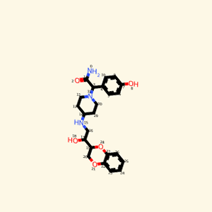 NC(=O)C(c1ccc(O)cc1)N1CCC(NCC(O)C2COc3ccccc3O2)CC1